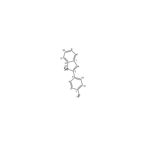 Fc1ccc(-c2cc3ccccc3[se]2)cc1